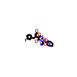 CC(C)OC(=O)N1C2CCC1CC(=NOc1nc3oc(=O)cc(Cc4cccc(F)c4)c3c(=O)[nH]1)C2